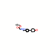 CC(C)(C)OC(=O)CNCc1ccc(C2CCC(=O)CC2)cc1